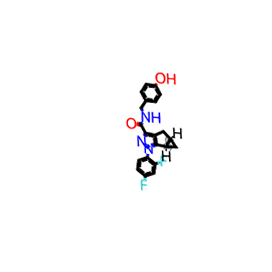 O=C(NCc1ccc(O)cc1)c1nn(-c2ccc(F)cc2F)c2c1C[C@H]1C[C@@H]21